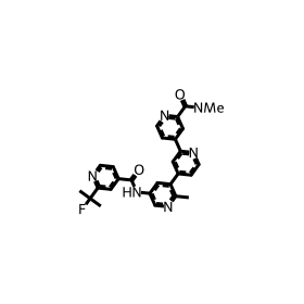 CNC(=O)c1cc(-c2cc(-c3cc(NC(=O)c4ccnc(C(C)(C)F)c4)cnc3C)ccn2)ccn1